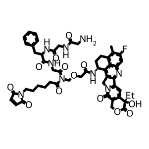 CC[C@@]1(O)C(=O)OCc2c1cc1n(c2=O)Cc2c-1nc1cc(F)c(C)c3c1c2[C@@H](NC(=O)COCN(C(=O)CCCCCN1C(=O)C=CC1=O)C(=O)CNC(=O)C(Cc1ccccc1)NC(=O)CNC(=O)CN)CC3